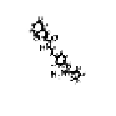 NC(=Nc1ccc(CCNC(=O)C=Cc2ccccc2O)cc1)c1cccs1